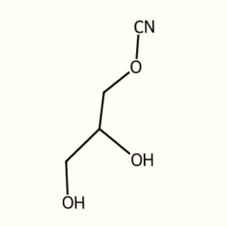 N#COCC(O)CO